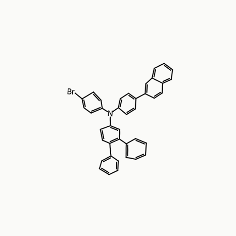 Brc1ccc(N(c2ccc(-c3ccc4ccccc4c3)cc2)c2ccc(-c3ccccc3)c(-c3ccccc3)c2)cc1